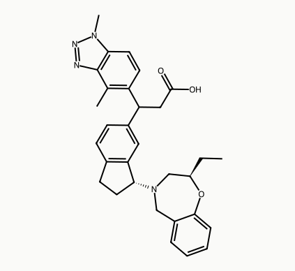 CC[C@@H]1CN([C@@H]2CCc3ccc(C(CC(=O)O)c4ccc5c(nnn5C)c4C)cc32)Cc2ccccc2O1